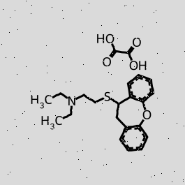 CCN(CC)CCSC1Cc2ccccc2Oc2ccccc21.O=C(O)C(=O)O